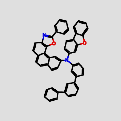 c1ccc(-c2cccc(-c3cccc(N(c4ccc5c(c4)oc4ccccc45)c4ccc5ccc6ccc7nc(-c8ccccc8)oc7c6c5c4)c3)c2)cc1